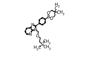 CC1(C)COB(c2ccc(-c3nc4cccnc4n3COCC[Si](C)(C)C)cc2)OC1